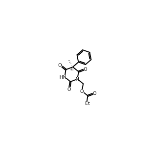 CCC(=O)OCN1C(=O)NC(=O)[C@@](C)(c2ccccc2)C1=O